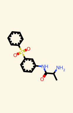 CC(N)C(=O)Nc1cccc(S(=O)(=O)c2ccccc2)c1